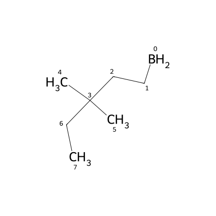 BCCC(C)(C)CC